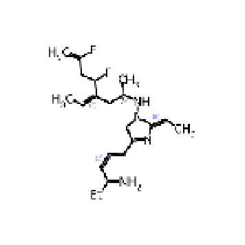 C=C(F)CC(F)/C(=C\C)C[C@@H](C)NN1CC(C/C=C\C(N)CC)=N/C1=C\C